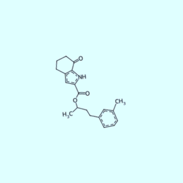 Cc1cccc(CCC(C)OC(=O)c2cc3c([nH]2)C(=O)CCC3)c1